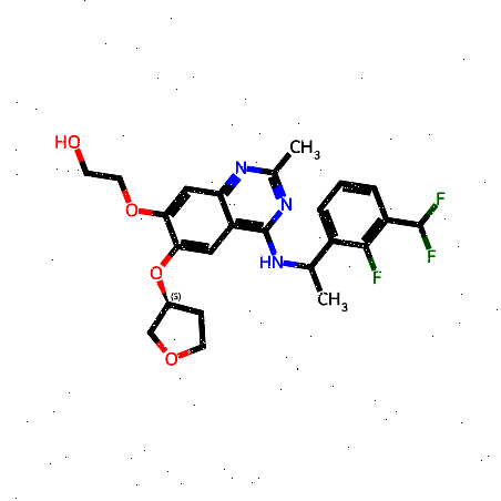 Cc1nc(NC(C)c2cccc(C(F)F)c2F)c2cc(O[C@H]3CCOC3)c(OCCO)cc2n1